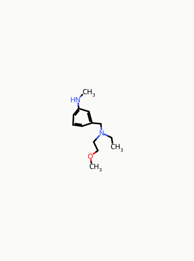 CCN(CCOC)Cc1cccc(NC)c1